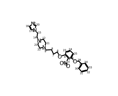 O=[N+]([O-])c1c(OCCCCN2CCN(CCn3ccnc3)CC2)cccc1OCc1ccccc1